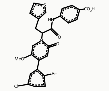 COc1cn(C(Cc2ccsc2)C(=O)Nc2ccc(C(=O)O)cc2)c(=O)cc1-c1cc(Cl)ccc1C(C)=O